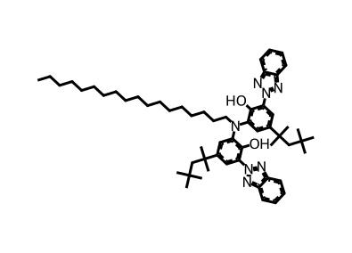 CCCCCCCCCCCCCCCCCCN(c1cc(C(C)(C)CC(C)(C)C)cc(-n2nc3ccccc3n2)c1O)c1cc(C(C)(C)CC(C)(C)C)cc(-n2nc3ccccc3n2)c1O